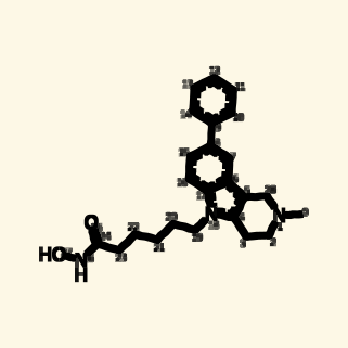 CN1CCc2c(c3cc(-c4ccccc4)ccc3n2CCCCCC(=O)NO)C1